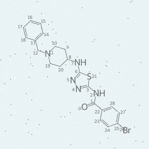 O=C(Nc1nnc(NC2CCN(Cc3ccccc3)CC2)s1)c1ccc(Br)cc1